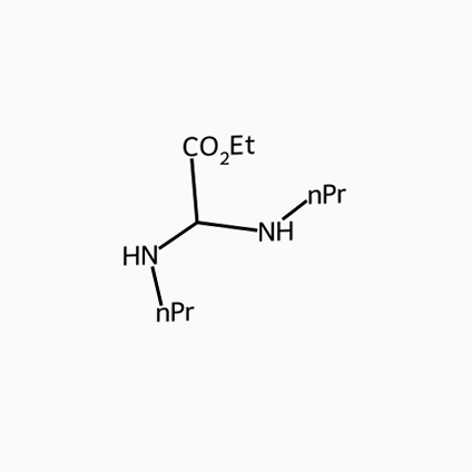 CCCNC(NCCC)C(=O)OCC